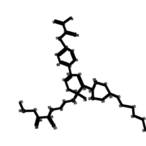 C=C(C)C(=O)Oc1ccc(C2=CCC(C)(OCCOC(=O)C(=C)COC)C(C3OCC(CCCCCC)CO3)=C2)cc1